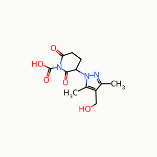 Cc1nn(C2CCC(=O)N(C(=O)O)C2=O)c(C)c1CO